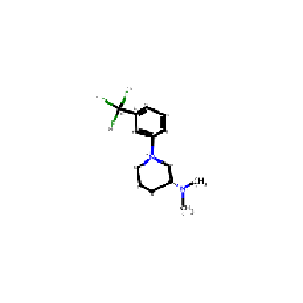 CN(C)[C@@H]1CCCN(c2cccc(C(F)(F)F)c2)C1